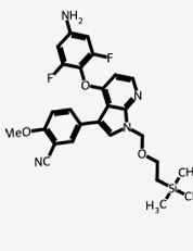 COc1ccc(-c2cn(COCC[Si](C)(C)C)c3nccc(Oc4c(F)cc(N)cc4F)c23)cc1C#N